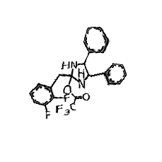 O=C(OC1(Cc2cccc(F)c2F)NC(c2ccccc2)C(c2ccccc2)N1)C(F)(F)F